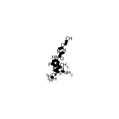 [2H]C([2H])([2H])OC[C@]12C[C@H]1[C@@](C)(c1cc(NC(=O)c3cnc(OCC#C)cn3)cc(F)c1F)N=C(N)S2